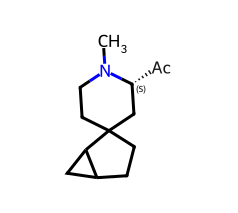 CC(=O)[C@@H]1CC2(CCC3CC32)CCN1C